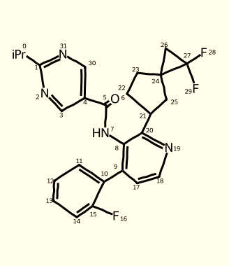 CC(C)c1ncc(C(=O)Nc2c(-c3ccccc3F)ccnc2C2CCC3(C2)CC3(F)F)cn1